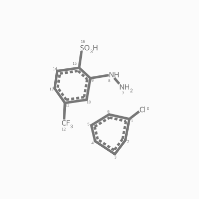 Clc1ccccc1.NNc1cc(C(F)(F)F)ccc1S(=O)(=O)O